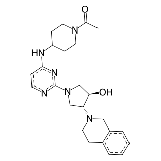 CC(=O)N1CCC(Nc2ccnc(N3C[C@@H](O)[C@H](N4CCc5ccccc5C4)C3)n2)CC1